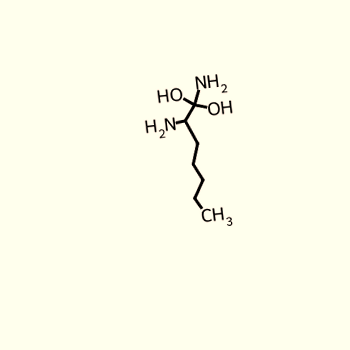 CCCCCC(N)C(N)(O)O